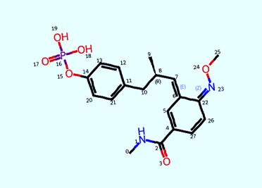 CNC(=O)C1=CC(=C\[C@H](C)Cc2ccc(OP(=O)(O)O)cc2)/C(=N\OC)C=C1